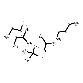 CC(C)(C)C.CC(C)C.CCC(C)C.CCCC.CCCCC